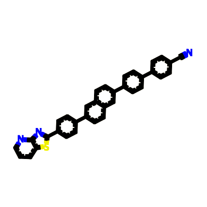 N#Cc1ccc(-c2ccc(-c3ccc4cc(-c5ccc(-c6nc7ncccc7s6)cc5)ccc4c3)cc2)cc1